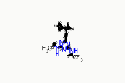 C[C@@H](Nc1nc(C#CC2(C3CCC3)CC2)nc(N[C@H](C)C(F)(F)F)n1)C(F)(F)F